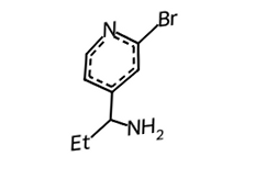 CCC(N)c1ccnc(Br)c1